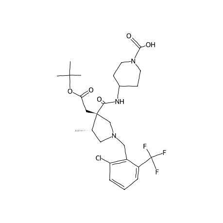 C[C@H]1CN(Cc2c(Cl)cccc2C(F)(F)F)C[C@@]1(CC(=O)OC(C)(C)C)C(=O)NC1CCN(C(=O)O)CC1